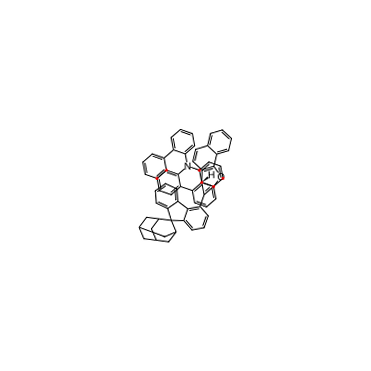 C1=CC2=C(c3cccc4c3-c3ccccc3C43C4CC5CC(C4)CC3C5)[C@@H]2C(N(c2ccccc2-c2ccccc2)c2ccccc2-c2cccc3oc4c5ccccc5ccc4c23)=C1